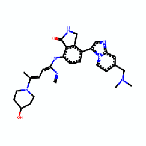 C=N/C(=C\C=C(/C)N1CCC(O)CC1)Nc1ccc(-c2cnc3cc(CN(C)C)ccn23)c2c1C(=O)NC2